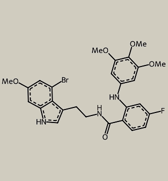 COc1cc(Br)c2c(CCNC(=O)c3ccc(F)cc3Nc3cc(OC)c(OC)c(OC)c3)c[nH]c2c1